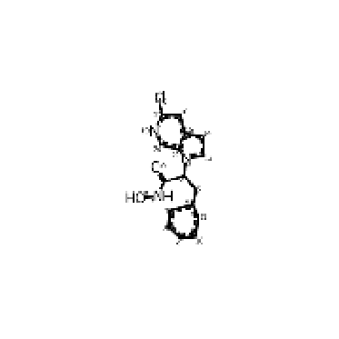 O=C(NO)C(Cc1ccccc1)n1ccc2cc(Cl)ncc21